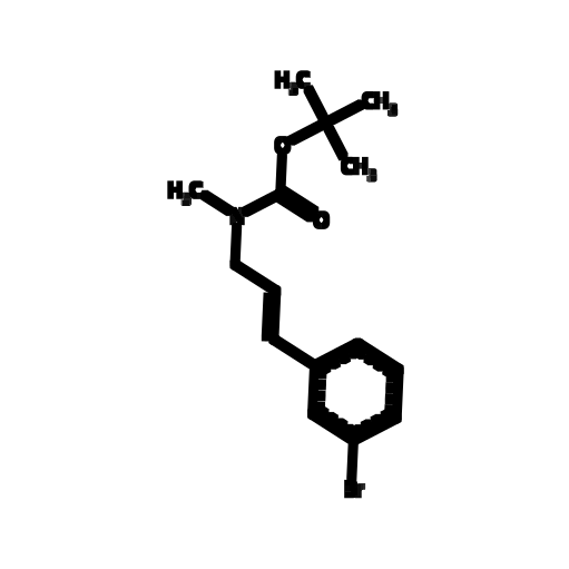 CN(C/C=C/c1cccc(Br)c1)C(=O)OC(C)(C)C